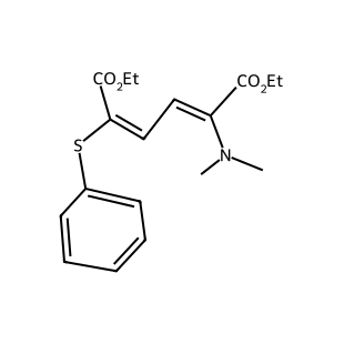 CCOC(=O)C(=CC=C(C(=O)OCC)N(C)C)Sc1ccccc1